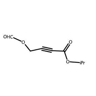 CC(C)OC(=O)C#CCOC=O